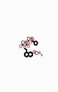 COc1ccc2cccc(CCN(C(C)=O)C(=O)OC(C)OC(=O)C3CCCC3)c2c1